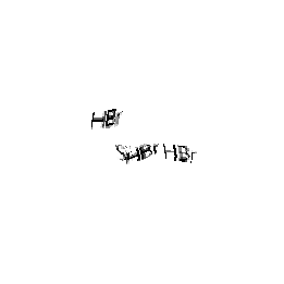 Br.Br.Br.[Si]